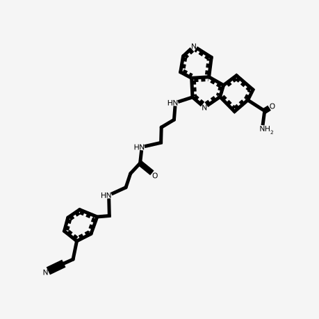 N#CCc1cccc(CNCCC(=O)NCCCNc2nc3cc(C(N)=O)ccc3c3cnccc23)c1